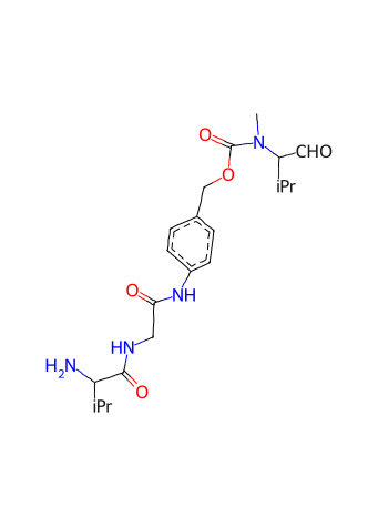 CC(C)C(N)C(=O)NCC(=O)Nc1ccc(COC(=O)N(C)C(C=O)C(C)C)cc1